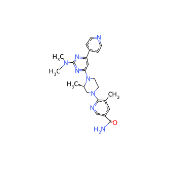 Cc1cc(C(N)=O)cnc1N1CCN(c2cc(-c3ccncc3)nc(N(C)C)n2)[C@H](C)C1